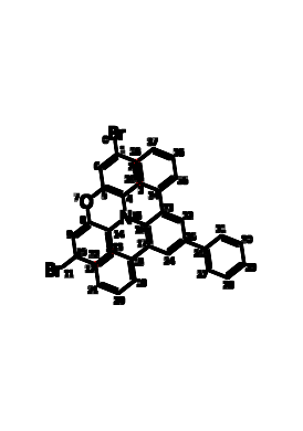 Brc1ccc2c(c1)OC1=CC(Br)CC=C1N2c1c(-c2ccccc2)cc(-c2ccccc2)cc1-c1ccccc1